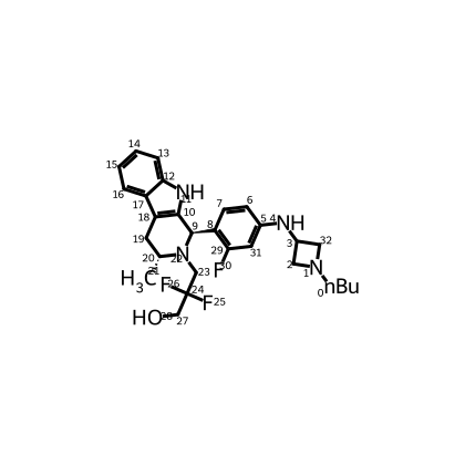 CCCCN1CC(Nc2ccc([C@@H]3c4[nH]c5ccccc5c4C[C@@H](C)N3CC(F)(F)CO)c(F)c2)C1